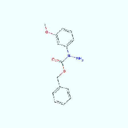 COc1cccc(N(N)C(=O)OCc2ccccc2)c1